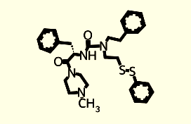 CN1CCN(C(=O)[C@H](Cc2ccccc2)NC(=O)N(CCSSc2ccccc2)CCc2ccccc2)CC1